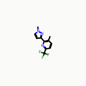 Cc1ccc(C(F)(F)F)nc1-c1ccn(C)n1